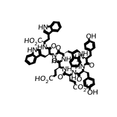 N[C@@H](Cc1ccc(O)cc1)C(=O)N[C@@H](Cc1ccc(O)cc1)C(=O)N[C@@H](CCC(=O)O)C(=O)N[C@@H](CCC(=O)O)C(=O)N[C@@H](Cc1c[nH]c2ccccc12)C(=O)N[C@@H](Cc1c[nH]c2ccccc12)C(=O)N[C@@H](Cc1c[nH]c2ccccc12)C(=O)O